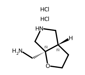 Cl.Cl.NC[C@]12CNC[C@@H]1CCO2